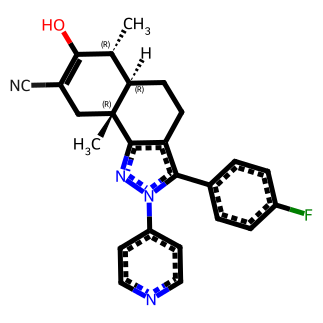 C[C@H]1C(O)=C(C#N)C[C@@]2(C)c3nn(-c4ccncc4)c(-c4ccc(F)cc4)c3CC[C@H]12